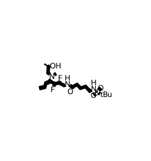 C=C/C=C(\C(F)C(F)CNC(=O)CCCCNS(=O)(=O)C(C)(C)C)N(C)C[C@@H](C)O